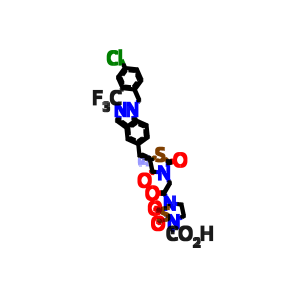 O=C1S/C(=C\c2ccc3c(cnn3Cc3ccc(Cl)cc3C(F)(F)F)c2)C(=O)N1CC(=O)N1CCN(C(=O)O)S1(=O)=O